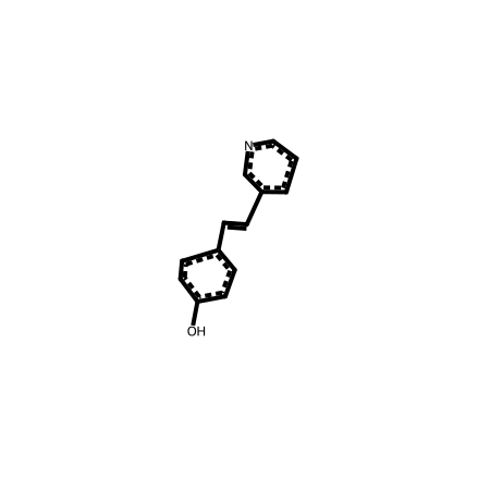 Oc1ccc(/C=C/c2cccnc2)cc1